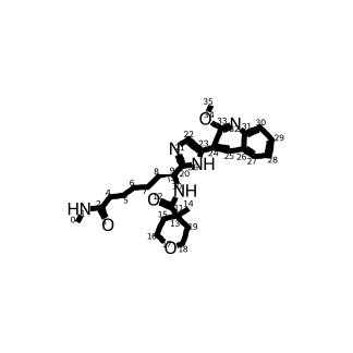 CNC(=O)CCCCC[C@H](NC(=O)C1(C)CCOCC1)c1ncc(-c2cc3ccccc3nc2OC)[nH]1